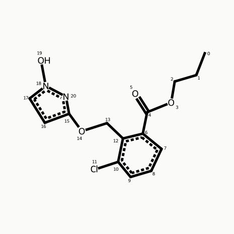 CCCOC(=O)c1cccc(Cl)c1COc1ccn(O)n1